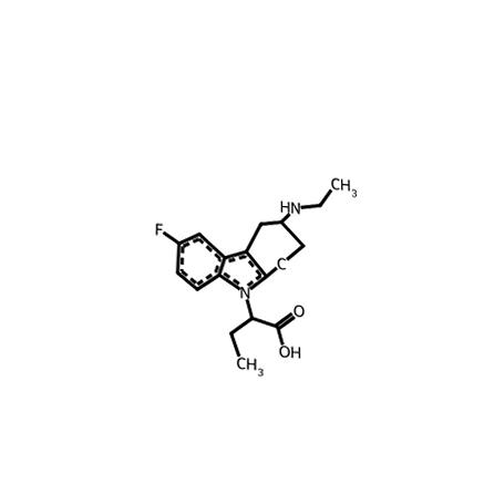 CCNC1CCc2c(c3cc(F)ccc3n2C(CC)C(=O)O)C1